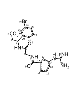 CCOC(=O)CC(NC(=O)CNC(=O)c1cccc(NC(=N)N)c1)c1cccc(Br)c1